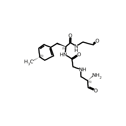 C[C@@H]1C=CC(C[C@H](NC(=O)CNC[C@H](N)C=O)C(=O)NCC=O)=CC1